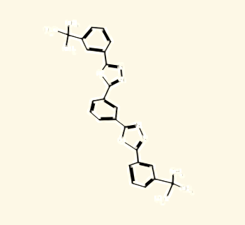 CC(C)(C)c1cccc(-c2nnc(-c3cccc(-c4nnc(-c5cccc(C(C)(C)C)c5)o4)c3)o2)c1